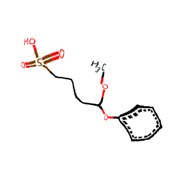 COC(CCCS(=O)(=O)O)Oc1ccccc1